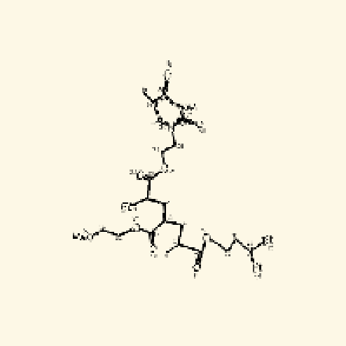 CCC(CC(CC(C)C(=O)OCCN(CC)CC)C(=O)OCCOC)C(=O)OCCn1cc(C)c(=O)[nH]c1=O